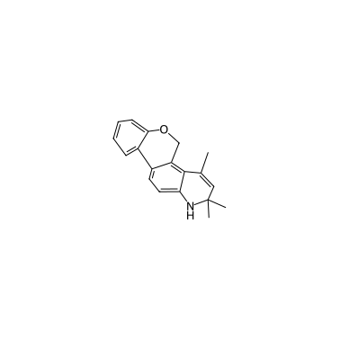 CC1=CC(C)(C)Nc2ccc3c(c21)COc1ccccc1-3